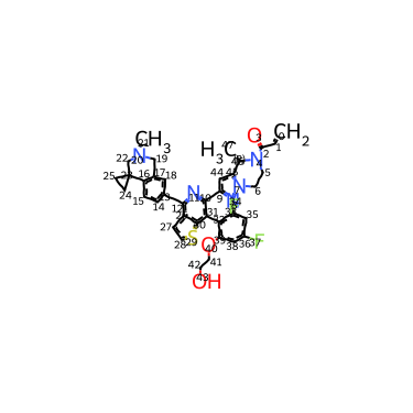 C=CC(=O)N1CCn2nc(-c3nc(-c4ccc5c(c4)CN(C)CC54CC4)c4ccsc4c3-c3c(F)cc(F)cc3OCCO)cc2[C@H]1C